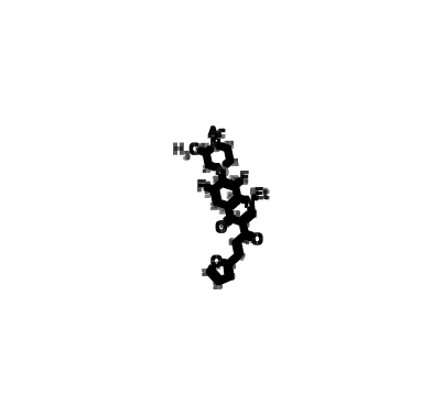 CCn1cc(C(=O)C=Cc2ccco2)c(=O)c2cc(F)c(N3CCN(C(C)=O)C(C)C3)c(F)c21